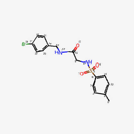 Cc1ccc(S(=O)(=O)NCC(=O)NCc2ccc(Br)cc2)cc1